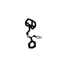 OC[C@H](/N=C\CC12CC3CC(CC(C3)C1)C2)c1ccccc1